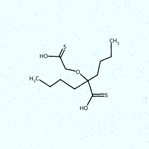 CCCCC(CCCC)(OCC(O)=S)C(O)=S